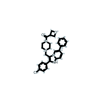 O=C(C1COC1)N1CCN(CC2=C(c3ccc(Cl)cc3)NC3C=CC(c4ccccc4)=CN23)CC1